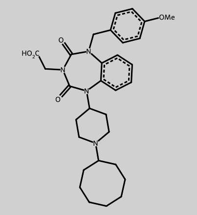 COc1ccc(CN2C(=O)N(CC(=O)O)C(=O)N(C3CCN(C4CCCCCCC4)CC3)c3ccccc32)cc1